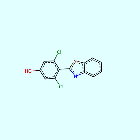 Oc1cc(Cl)c(-c2nc3ccccc3s2)c(Cl)c1